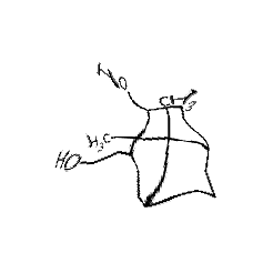 CC1(C)C2CC(O)C(O)C1C2